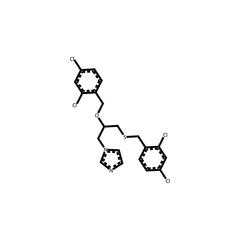 Clc1ccc(COC(CSCc2ccc(Cl)cc2Cl)Cn2ccnc2)c(Cl)c1